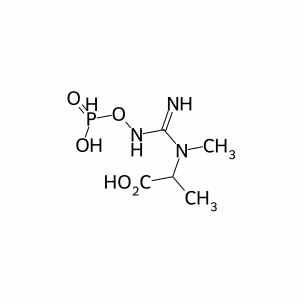 CC(C(=O)O)N(C)C(=N)NO[PH](=O)O